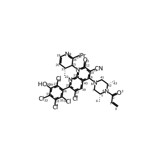 C=CC(=O)N1[C@H](C)CN(c2c(C#N)c(=O)n(C3C(C(C)C)=NC=C[C@H]3C)c3nc(-c4c(Cl)c(O)c(Cl)c(Cl)c4Cl)c(Cl)cc23)C[C@@H]1C